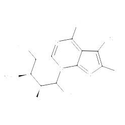 CO[C@@H](COC(C)=O)[C@H](OC(C)=O)C(OC(C)=O)n1cnc(C)c2c(C#N)c(Br)nc1-2